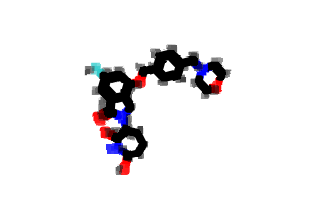 O=C1CCC[C@H](N2Cc3c(OCc4ccc(CN5CCOCC5)cc4)cc(F)cc3C2=O)C(=O)N1